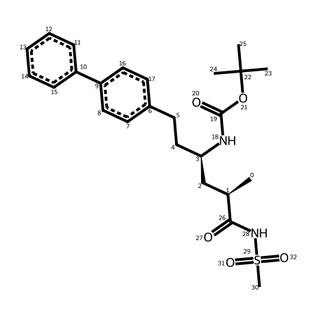 C[C@H](C[C@@H](CCc1ccc(-c2ccccc2)cc1)NC(=O)OC(C)(C)C)C(=O)NS(C)(=O)=O